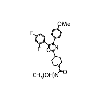 COc1ccc(-c2nc(C3CCN(C(=O)N(C)O)CC3)oc2-c2ccc(F)cc2F)cc1